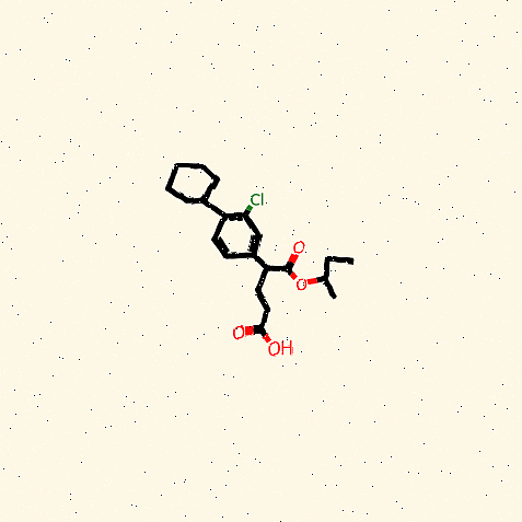 CCC(C)OC(=O)C(CCC(=O)O)c1ccc(C2CCCCC2)c(Cl)c1